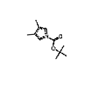 Cc1cn(C(=O)OC(C)(C)C)cc1C